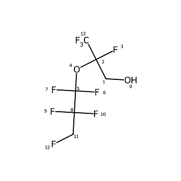 OCC(F)(OC(F)(F)C(F)(F)CF)C(F)(F)F